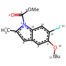 COC(=O)n1c(C)cc2cc(OC(C)(C)C)c(F)cc21